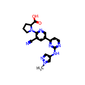 Cn1cc(Nc2nccc(-c3cnc(N4CCCC4C(=O)O)c(C#N)c3)n2)cn1